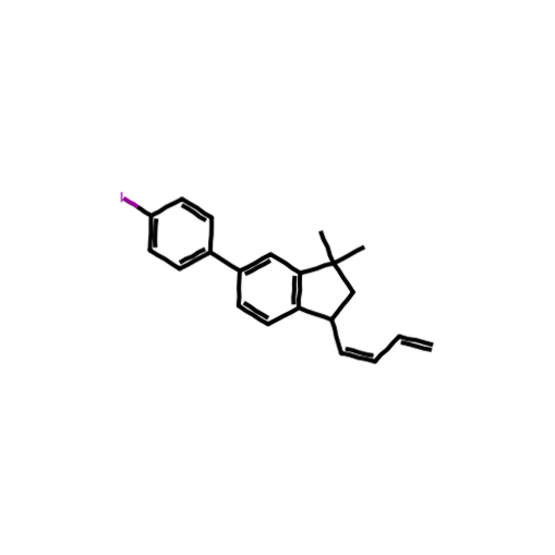 C=C/C=C\C1CC(C)(C)c2cc(-c3ccc(I)cc3)ccc21